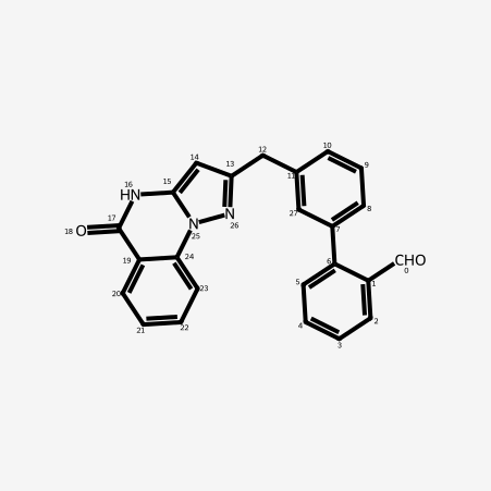 O=Cc1ccccc1-c1cccc(Cc2cc3[nH]c(=O)c4ccccc4n3n2)c1